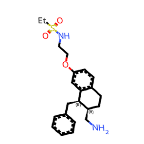 CCS(=O)(=O)NCCOc1ccc2c(c1)[C@H](Cc1ccccc1)[C@H](CN)CC2